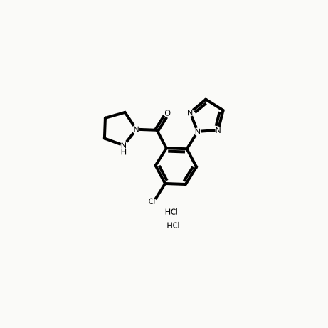 Cl.Cl.O=C(c1cc(Cl)ccc1-n1nccn1)N1CCCN1